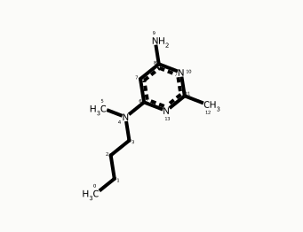 CCCCN(C)c1cc(N)nc(C)n1